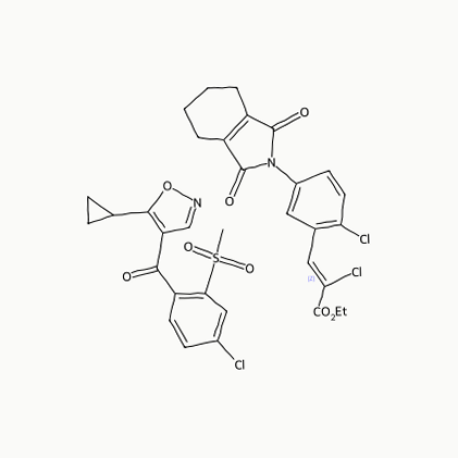 CCOC(=O)/C(Cl)=C/c1cc(N2C(=O)C3=C(CCCC3)C2=O)ccc1Cl.CS(=O)(=O)c1cc(Cl)ccc1C(=O)c1cnoc1C1CC1